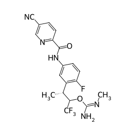 C/N=C(/N)OC([C@H](C)c1cc(NC(=O)c2ccc(C#N)cn2)ccc1F)C(F)(F)F